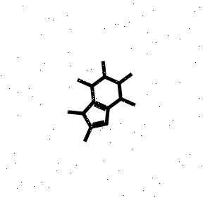 C[C]1C(C)=CC2=C1C(C)C(C)C(C)C2C